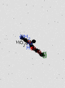 CC[C@@H](c1ccccc1)N1Cc2cc3c(cc2C[C@H]1C(=O)NC(Cc1ccc(-c2ccnc(N)c2)cc1)C(=O)O)OC[C@H](c1ccc(OCc2ccc(Cl)c(Cl)c2)cc1)O3